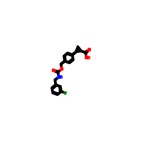 O=C(NCc1cccc(F)c1)OCc1ccc(C2CC2C(=O)O)cc1